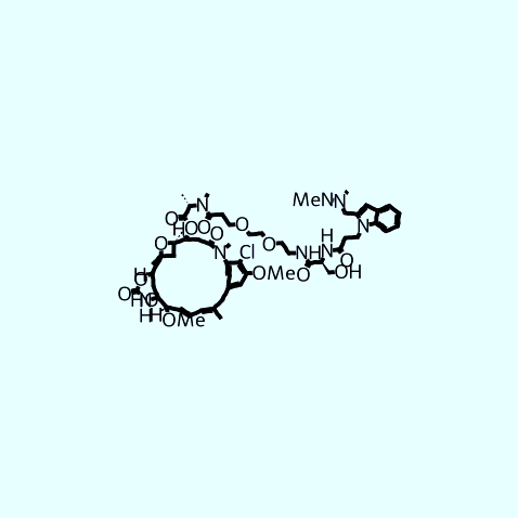 CNN(C)Cc1cc2ccccc2n1CCC(=O)N[C@@H](CO)C(=O)NCCOCCOCCC(=O)N(C)[C@@H](C)C(=O)O[C@H]1CC(=O)N(C)c2cc(cc(OC)c2Cl)C/C(C)=C/C=C/[C@@H](OC)[C@@]2(O)C[C@H](OC(=O)N2)C2(C)C[C@@]1(C)O2